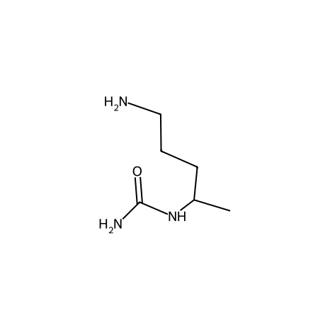 CC(CCCN)NC(N)=O